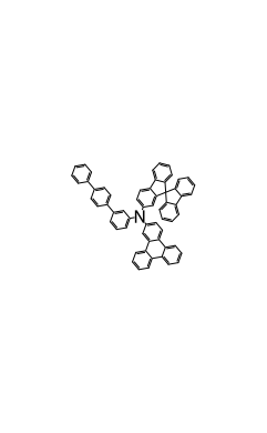 c1ccc(-c2ccc(-c3cccc(N(c4ccc5c(c4)C4(c6ccccc6-c6ccccc64)c4ccccc4-5)c4ccc5c6ccccc6c6ccccc6c5c4)c3)cc2)cc1